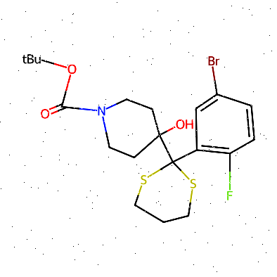 CC(C)(C)OC(=O)N1CCC(O)(C2(c3cc(Br)ccc3F)SCCCS2)CC1